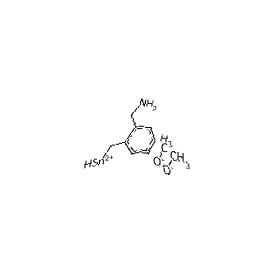 C[O-].C[O-].NCc1ccccc1[CH2][SnH+2]